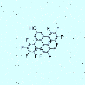 Oc1cc(-c2c(F)c(F)c(F)c(F)c2F)c(-c2c(F)c(F)c(F)c(F)c2F)c(-c2c(F)c(F)c(F)c(F)c2F)c1